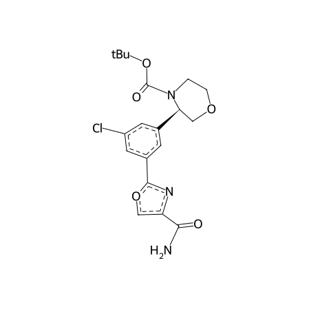 CC(C)(C)OC(=O)N1CCOC[C@H]1c1cc(Cl)cc(-c2nc(C(N)=O)co2)c1